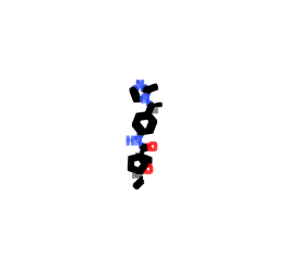 CC[C@@]12CC[C@](C(=O)Nc3ccc([C@H](C)n4ccnc4C)cc3)(CO1)C2